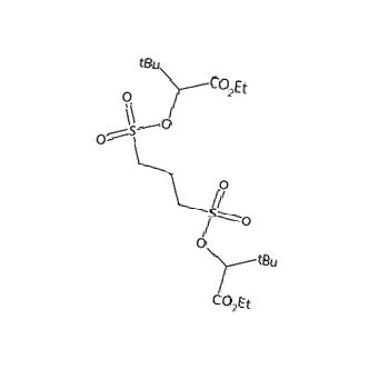 CCOC(=O)C(OS(=O)(=O)CCCS(=O)(=O)OC(C(=O)OCC)C(C)(C)C)C(C)(C)C